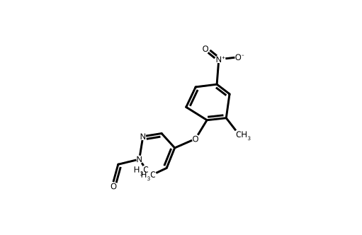 C/C=C(\C=N/N(C)C=O)Oc1ccc([N+](=O)[O-])cc1C